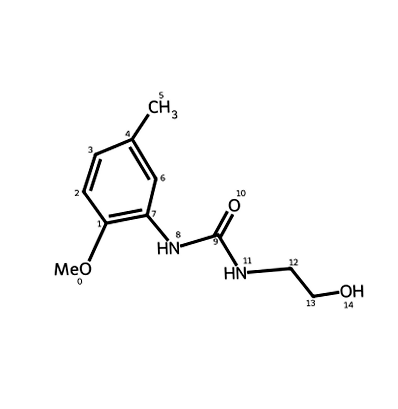 COc1ccc(C)cc1NC(=O)NCCO